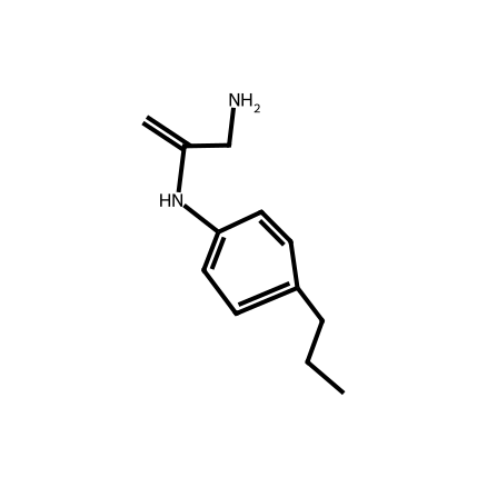 C=C(CN)Nc1ccc(CCC)cc1